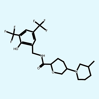 CC1CCCN(C2CCC(C(=O)NCc3cc(C(F)(F)F)cc(C(F)(F)F)c3O)OC2)C1